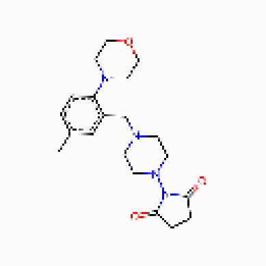 Cc1ccc(N2CCOCC2)c(CN2CCN(N3C(=O)CCC3=O)CC2)c1